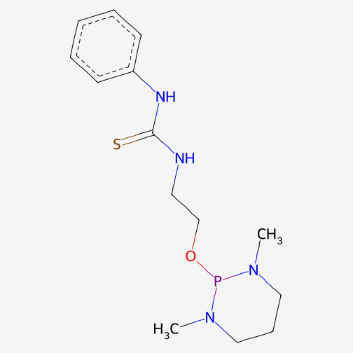 CN1CCCN(C)P1OCCNC(=S)Nc1ccccc1